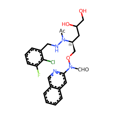 CC(=O)N(NCc1cccc(F)c1Cl)[C@H](CON(C=O)c1cc2ccccc2cn1)CC(O)CO